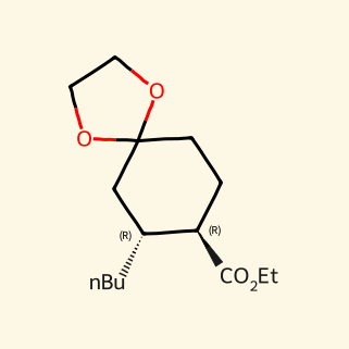 CCCC[C@@H]1CC2(CC[C@H]1C(=O)OCC)OCCO2